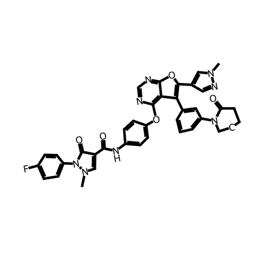 Cn1cc(-c2oc3ncnc(Oc4ccc(NC(=O)c5cn(C)n(-c6ccc(F)cc6)c5=O)cc4)c3c2-c2cccc(N3CCCCC3=O)c2)cn1